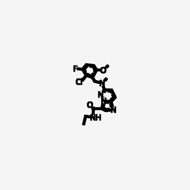 CCNC(=O)c1cnc2ccc(N(C)Cc3c(OC)ccc(F)c3Cl)nn12